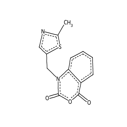 Cc1ncc(Cn2c(=O)oc(=O)c3ccccc32)s1